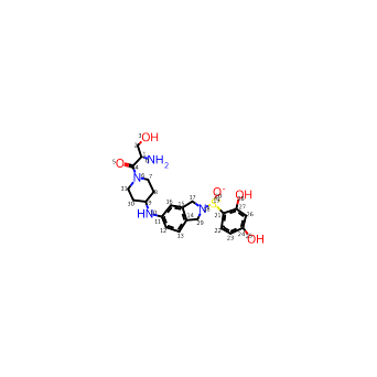 N[C@H](CO)C(=O)N1CCC(Nc2ccc3c(c2)CN([S+]([O-])c2ccc(O)cc2O)C3)CC1